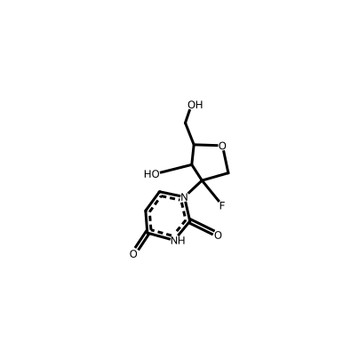 O=c1ccn(C2(F)COC(CO)C2O)c(=O)[nH]1